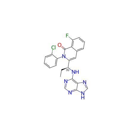 CC[C@H](Nc1ncnc2[nH]cnc12)c1cc2cccc(F)c2c(=O)n1-c1ccccc1Cl